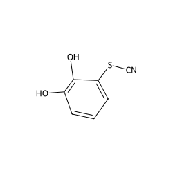 N#CSc1cccc(O)c1O